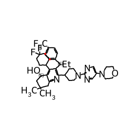 CC[C@@H](c1ccc(C(F)(F)F)cc1)c1c(C2CCN(c3ncc(N4CCOCC4)cn3)CC2)nc2c(c1C1CCC(F)(F)CC1)[C@@H](O)CC(C)(C)C2